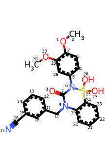 COc1ccc(N2C(=O)N(Cc3cccc(C#N)c3)c3ccccc3S2(O)O)cc1OC